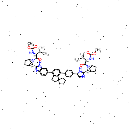 COC(=O)N[C@H](C(=O)N1C2CCC(C2)[C@H]1c1ncc(-c2ccc(-c3ccc(-c4ccc5nc([C@@H]6C7CCC(C7)N6C(=O)[C@@H](NC(=O)OC)C(C)C)[nH]c5c4)c4c3C3(CCCC3)CC4)cc2)[nH]1)C(C)C